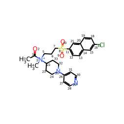 CC(=O)[N+](C)(CCCS(=O)(=O)c1ccc2cc(Cl)ccc2c1)C1CCN(c2ccncc2)CC1